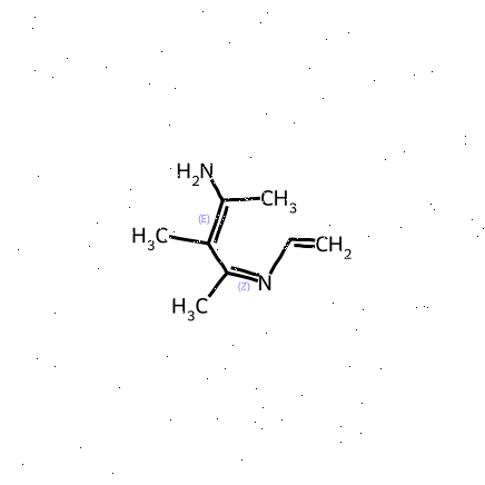 C=C/N=C(C)\C(C)=C(/C)N